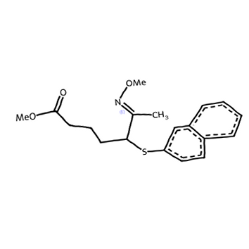 CO/N=C(\C)C(CCCC(=O)OC)Sc1ccc2ccccc2c1